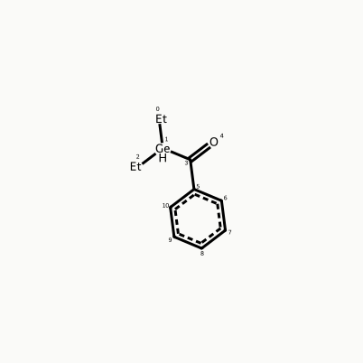 C[CH2][GeH]([CH2]C)[C](=O)c1ccccc1